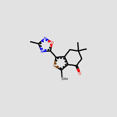 CSc1sc(-c2nc(C)no2)c2c1C(=O)CC(C)(C)C2